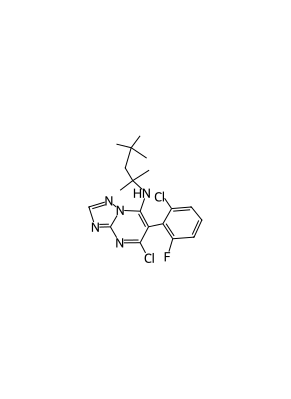 CC(C)(C)CC(C)(C)Nc1c(-c2c(F)cccc2Cl)c(Cl)nc2ncnn12